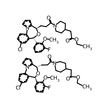 CCOC(=O)CC1CCN(C(=O)CC[C@@H]2O[C@@H](c3cccc(F)c3OC)c3cc(Cl)ccc3-n3cccc32)CC1.CCOC(=O)CC1CCN(C(=O)CC[C@H]2O[C@H](c3cccc(F)c3OC)c3cc(Cl)ccc3-n3cccc32)CC1